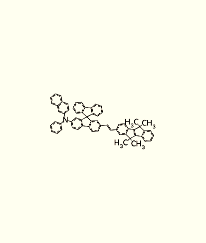 CC1(C)C2=C(c3ccccc31)C(C)(C)c1cc(/C=C/c3ccc4c(c3)C3(c5ccccc5-c5ccccc53)c3cc(N(c5ccccc5)c5ccc6ccccc6c5)ccc3-4)ccc12